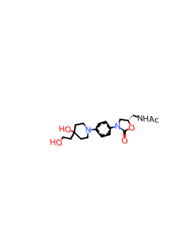 CC(=O)NC[C@H]1CN(c2ccc(N3CCC(O)(CCO)CC3)cc2)C(=O)O1